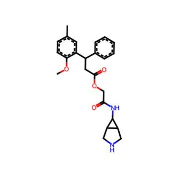 COc1ccc(C)cc1C(CC(=O)OCC(=O)NC1C2CNCC21)c1ccccc1